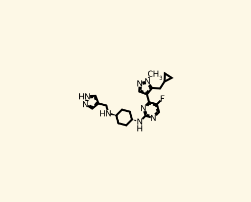 Cn1ncc(-c2nc(N[C@H]3CC[C@H](NCc4cn[nH]c4)CC3)ncc2F)c1CC1CC1